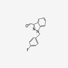 O=Cc1nn(Cc2ccc(F)cc2)c2ccccc12